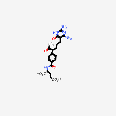 Nc1nc(N)c(CCCC(C(=O)C(F)(F)F)c2ccc(C(=O)N[C@H](CCC(=O)O)C(=O)O)cc2)c(=O)[nH]1